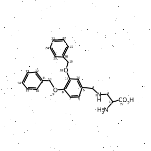 NC(CNCc1ccc(OCc2ccccc2)c(OCc2ccccc2)c1)C(=O)O